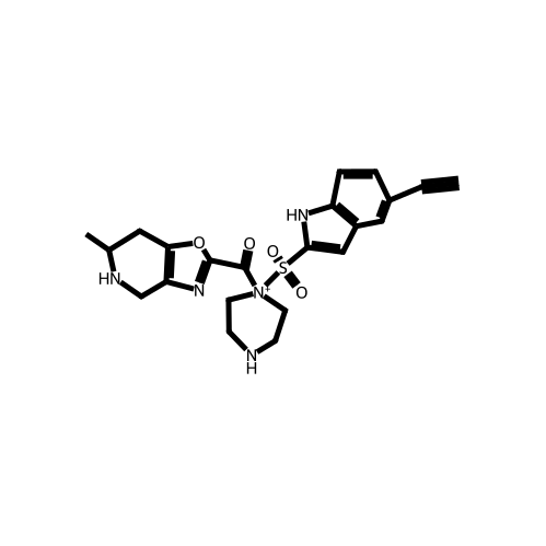 C#Cc1ccc2[nH]c(S(=O)(=O)[N+]3(C(=O)c4nc5c(o4)CC(C)NC5)CCNCC3)cc2c1